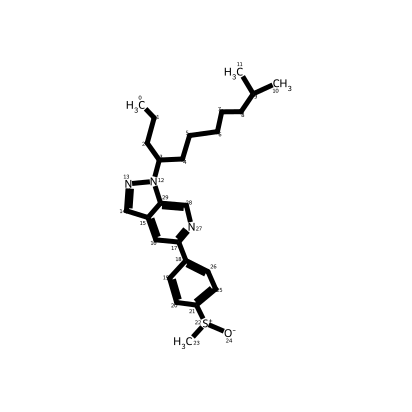 CCCC(CCCCCC(C)C)n1ncc2cc(-c3ccc([S+](C)[O-])cc3)ncc21